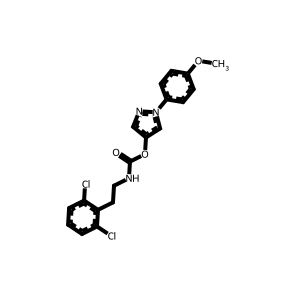 COc1ccc(-n2cc(OC(=O)NCCc3c(Cl)cccc3Cl)cn2)cc1